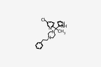 CC(c1ccc(Cl)cn1)(c1ccn[nH]1)N1CCN(CCc2ccccc2)CC1